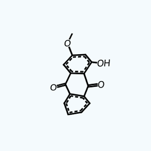 COc1cc(O)c2c(c1)C(=O)c1ccccc1C2=O